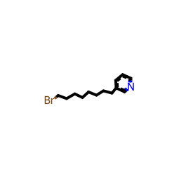 BrCCCCCCCCc1cccnc1